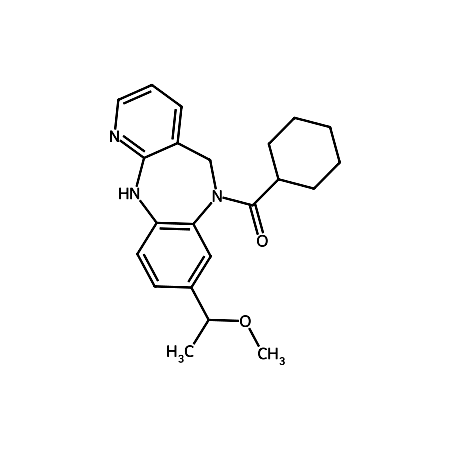 COC(C)c1ccc2c(c1)N(C(=O)C1CCCCC1)Cc1cccnc1N2